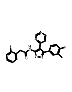 Cc1cc(-c2noc(NC(=O)Cc3ccccc3I)c2-c2ccncn2)ccc1F